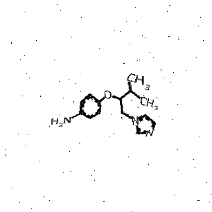 CC(C)C(Cn1ccnc1)Oc1ccc(N)cc1